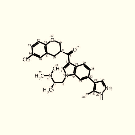 C[C@H](Cn1cc(C(=O)[C@@H]2COc3ccc(Cl)cc3C2)c2ccc(-c3cn[nH]c3F)cc21)N(C)C